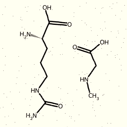 CNCC(=O)O.NC(=O)NCCC[C@H](N)C(=O)O